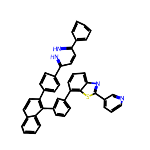 N=C(/C=C\C(=N)c1ccc(-c2ccc3ccccc3c2-c2cccc(-c3cccc4nc(-c5cccnc5)sc34)c2)cc1)c1ccccc1